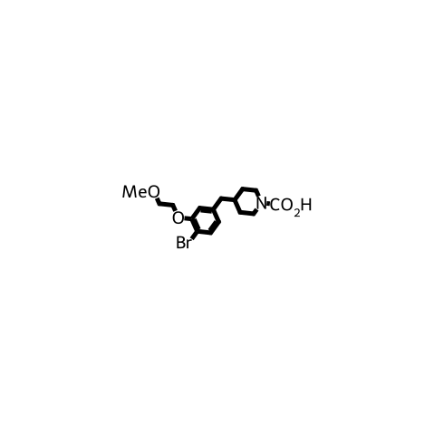 COCCOc1cc(CC2CCN(C(=O)O)CC2)ccc1Br